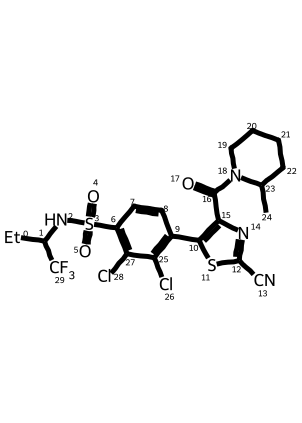 CCC(NS(=O)(=O)c1ccc(-c2sc(C#N)nc2C(=O)N2CCCCC2C)c(Cl)c1Cl)C(F)(F)F